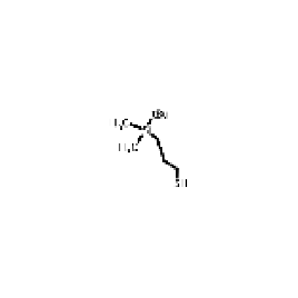 CC(C)(C)[Si](C)(C)CCCS